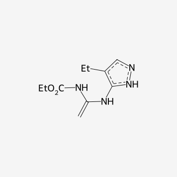 C=C(NC(=O)OCC)Nc1[nH]ncc1CC